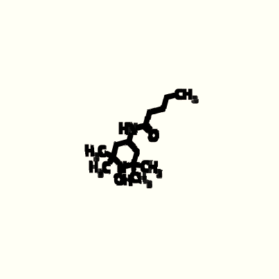 CCCCC(=O)NC1CC(C)(C)N(O)C(C)(C)C1